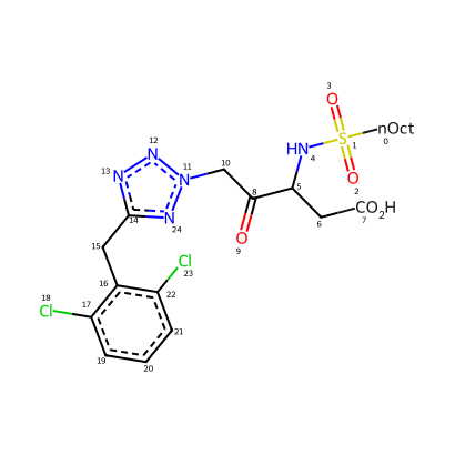 CCCCCCCCS(=O)(=O)NC(CC(=O)O)C(=O)Cn1nnc(Cc2c(Cl)cccc2Cl)n1